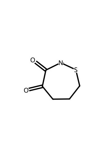 O=C1CCCS[N]C1=O